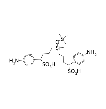 C[Si](C)(C)O[Si](C)(CCCC(c1ccc(N)cc1)S(=O)(=O)O)CCCC(c1ccc(N)cc1)S(=O)(=O)O